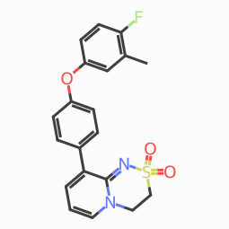 Cc1cc(Oc2ccc(C3=CC=CN4CCS(=O)(=O)N=C34)cc2)ccc1F